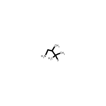 CC(CN)C(C)(C)F